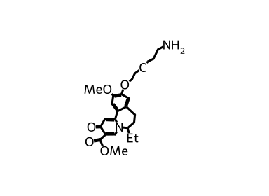 CCC1CCc2cc(OCCCCCCN)c(OC)cc2-c2cc(=O)c(C(=O)OC)cn21